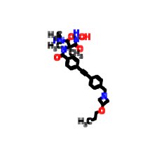 CCCOC1CN(Cc2ccc(C#Cc3ccc(C(=O)N(C)[C@@](C)(C(=O)NC)C(=O)NO)cc3)cc2)C1